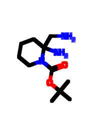 CC(C)(C)OC(=O)N1CCCCC1(N)CN